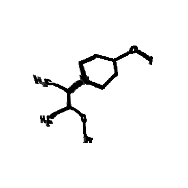 CC(C)OC(C)C(C)N1CCC(OI)CC1